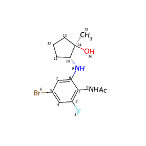 CC(=O)Nc1c(F)cc(Br)cc1N[C@@H]1CCC[C@@]1(C)O